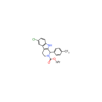 CCCOC(=O)N1CCc2c([nH]c3ccc(Cl)cc23)C1c1ccc(C(F)(F)F)cc1